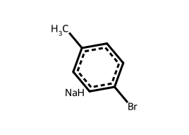 Cc1ccc(Br)cc1.[NaH]